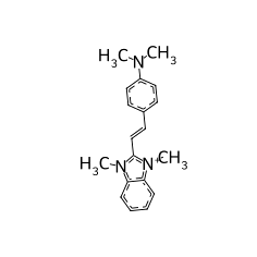 CN(C)c1ccc(C=Cc2n(C)c3ccccc3[n+]2C)cc1